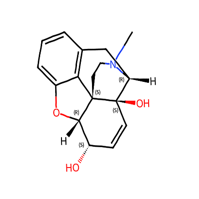 CN1CC[C@]23c4c5cccc4O[C@H]2[C@@H](O)C=C[C@@]3(O)[C@H]1C5